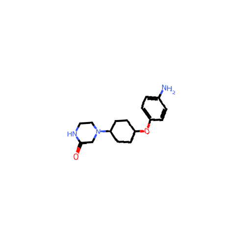 Nc1ccc(OC2CCC(N3CCNC(=O)C3)CC2)cc1